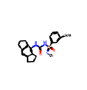 COc1cccc(S(=O)(=NC#N)NC(=O)Nc2c3c(cc4c2CCC4)CCC3)c1